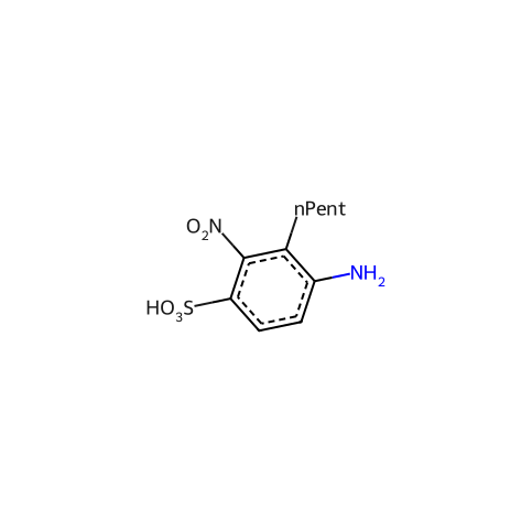 CCCCCc1c(N)ccc(S(=O)(=O)O)c1[N+](=O)[O-]